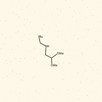 COC(CNCC(C)(C)C)OC